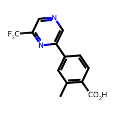 Cc1cc(-c2cncc(C(F)(F)F)n2)ccc1C(=O)O